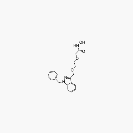 O=C(COCCOCc1nn(Cc2ccccc2)c2ccccc12)NO